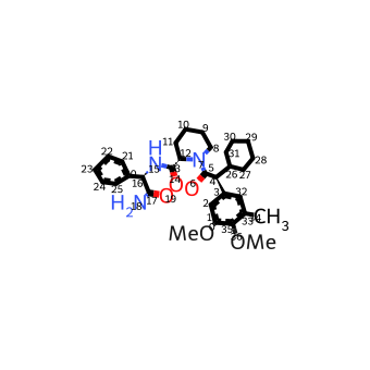 COc1cc([C@@H](C(=O)N2CCCC[C@H]2C(=O)N[C@H](C(N)=O)c2ccccc2)C2CCCCC2)cc(C)c1OC